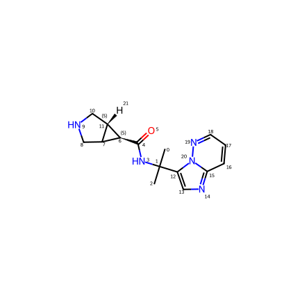 CC(C)(NC(=O)[C@H]1C2CNC[C@@H]21)c1cnc2cccnn12